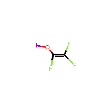 FC(F)=C(F)OI